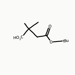 CC(C)(C)OC(=O)CC(C)(C)C(=O)O